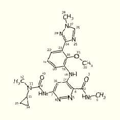 CNC(=O)c1nnc(NC(=O)N(C)C2CC2)cc1Nc1cccc(-c2ncn(C)n2)c1OC